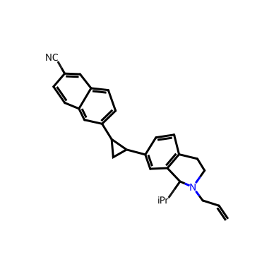 C=CCN1CCc2ccc(C3CC3c3ccc4cc(C#N)ccc4c3)cc2C1C(C)C